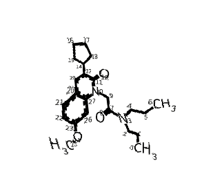 CCCN(CCC)C(=O)Cn1c(=O)c(C2CCCC2)cc2ccc(OC)cc21